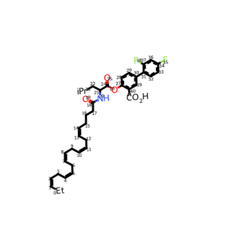 CC/C=C\C/C=C\C/C=C\C/C=C\C/C=C\CCCC(=O)NC(CC(C)C)C(=O)Oc1ccc(-c2ccc(F)cc2F)cc1C(=O)O